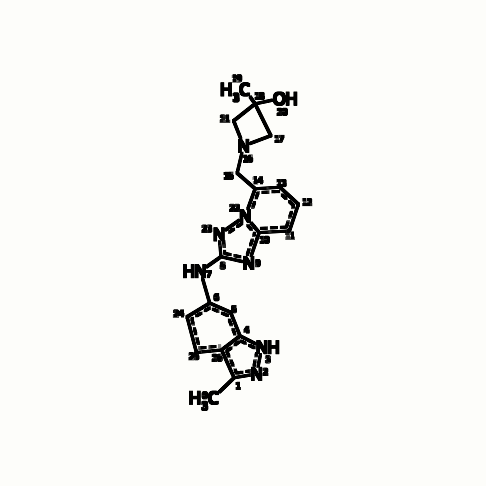 Cc1n[nH]c2cc(Nc3nc4cccc(CN5CC(C)(O)C5)n4n3)ccc12